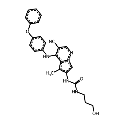 Cc1c(NC(=O)NCCCO)cn2ncc(C#N)c(Nc3ccc(Oc4ccccc4)cc3)c12